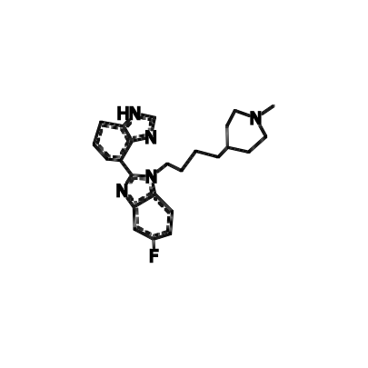 CN1CCC(CCCCn2c(-c3cccc4[nH]cnc34)nc3cc(F)ccc32)CC1